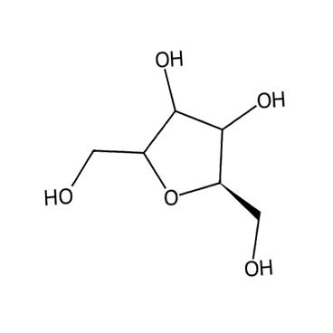 OCC1O[C@H](CO)C(O)C1O